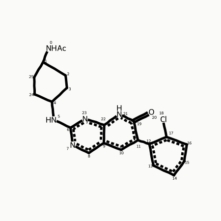 CC(=O)NC1CCC(Nc2ncc3cc(-c4ccccc4Cl)c(=O)[nH]c3n2)CC1